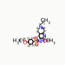 CCCN1CCc2cc(NS(=O)(=O)c3ccc(OCC)cc3)c(OC)nc2CC1